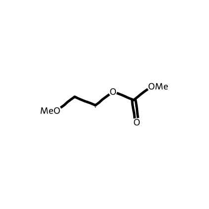 COC[CH]OC(=O)OC